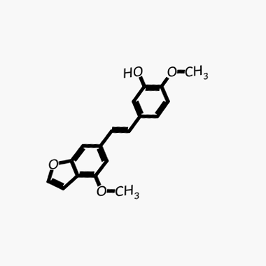 COc1ccc(/C=C/c2cc(OC)c3ccoc3c2)cc1O